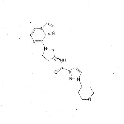 O=C(N[C@H]1CCN(c2nccn3ccnc23)C1)c1ccn(C2CCOCC2)n1